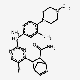 Cc1cc(Nc2ncc(F)c(C3C4C=CC(C4)C3C(N)=O)n2)ccc1N1CCN(C)CC1.N